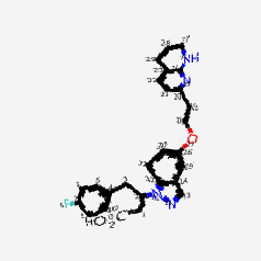 O=C(O)CC(Cc1ccc(F)cc1)n1ncc2cc(OCCc3ccc4c(n3)NCCC4)ccc21